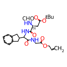 C=CCOC(=O)CNC(=O)C(NC(=O)[C@H](CC(=O)OC(C)(C)C)NC=O)C1Cc2ccccc2C1